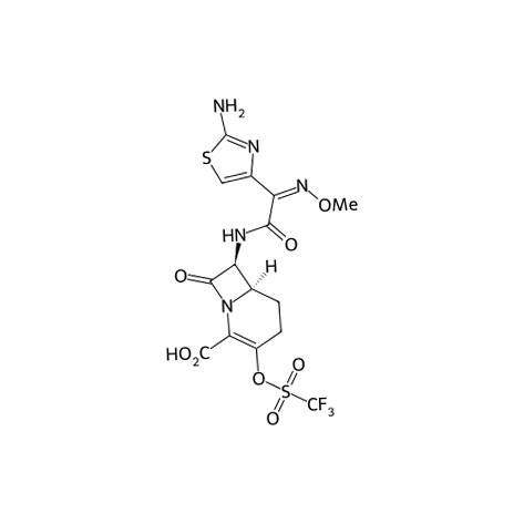 CO/N=C(\C(=O)N[C@@H]1C(=O)N2C(C(=O)O)=C(OS(=O)(=O)C(F)(F)F)CC[C@H]12)c1csc(N)n1